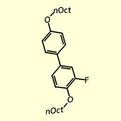 CCCCCCCCOc1ccc(-c2ccc(OCCCCCCCC)c(F)c2)cc1